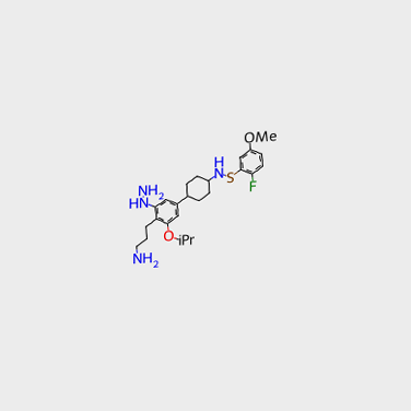 COc1ccc(F)c(SNC2CCC(c3cc(NN)c(CCCN)c(OC(C)C)c3)CC2)c1